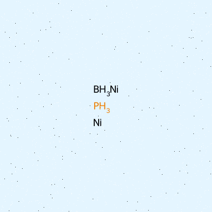 B.P.[Ni].[Ni]